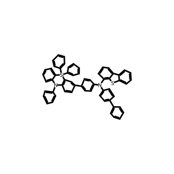 c1ccc(-c2ccc(N(c3ccc(-c4ccc5c(c4)[Si](c4ccccc4)(c4ccccc4)c4ccccc4N5c4ccccc4)cc3)c3cccc4c3sc3ccccc34)cc2)cc1